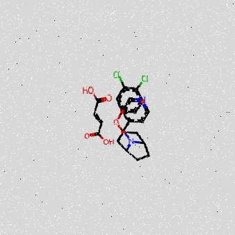 Clc1ccc(OC2CC3CCC(C2)N3Cc2ccncc2)cc1Cl.O=C(O)C=CC(=O)O